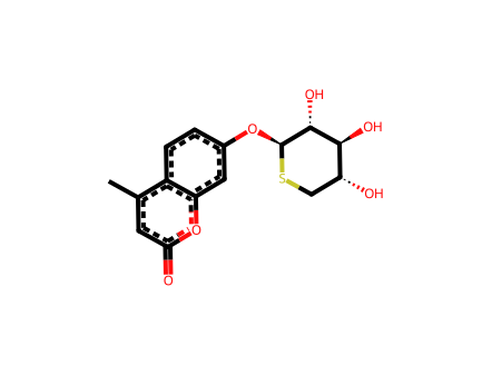 Cc1cc(=O)oc2cc(O[C@@H]3SC[C@@H](O)[C@H](O)[C@H]3O)ccc12